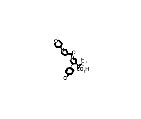 CN(C(=O)O)[C@@H]1CN(C(=O)C2CCN(C3CCOCC3)C2)C[C@H]1c1ccc(Cl)cc1